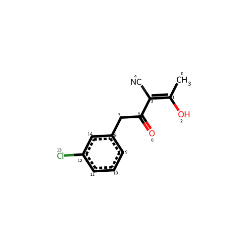 C/C(O)=C(\C#N)C(=O)Cc1cccc(Cl)c1